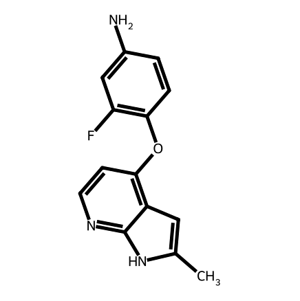 Cc1cc2c(Oc3ccc(N)cc3F)ccnc2[nH]1